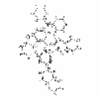 c1ccc(N(c2ccccc2)c2cc3oc4cccc(-c5nc(-c6ccc7ccccc7c6)nc(-c6ccc7ccccc7c6)n5)c4c3c3ccccc23)cc1